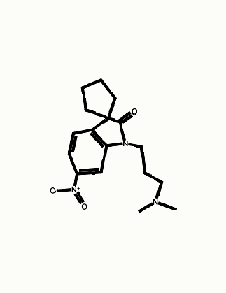 CN(C)CCCN1C(=O)C2(CCCC2)c2ccc([N+](=O)[O-])cc21